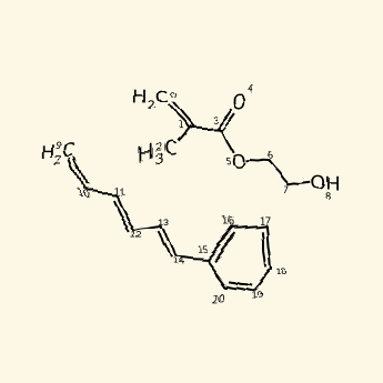 C=C(C)C(=O)OCCO.C=CC=CC=Cc1ccccc1